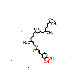 C/C(=C\COC(=O)/C=C/c1ccc(O)c(O)c1)CCCC(C)CCCC(C)CCCC(C)C